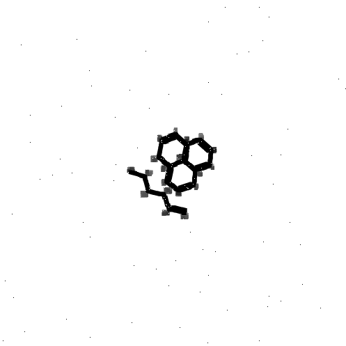 C1=Cc2cccc3cccc(c23)C1.C=CCCCC